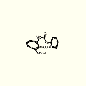 CCCCCc1cccc(NC(=O)Oc2ccccc2)c1C(=O)O